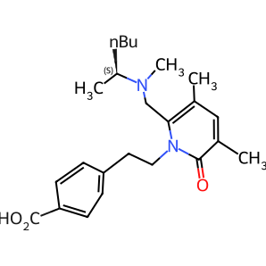 CCCC[C@H](C)N(C)Cc1c(C)cc(C)c(=O)n1CCc1ccc(C(=O)O)cc1